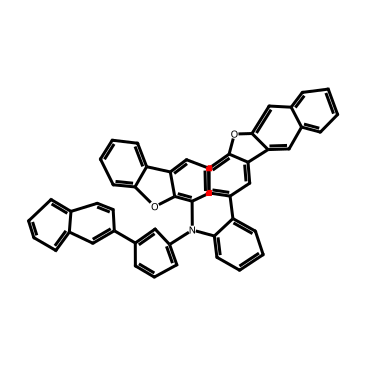 c1cc(-c2ccc3ccccc3c2)cc(N(c2ccccc2-c2ccc3oc4cc5ccccc5cc4c3c2)c2cccc3c2oc2ccccc23)c1